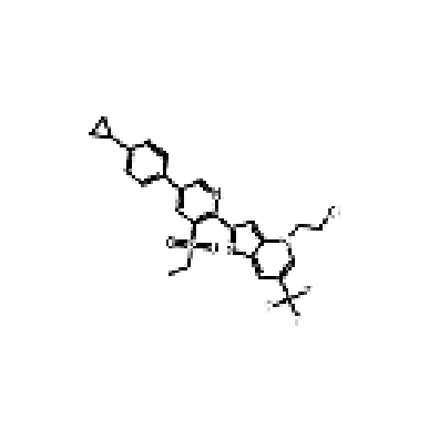 CCS(=O)(=O)c1cc(-c2ccc(C3CC3)cc2)cnc1-c1cc2n(CCCl)cc(C(F)(F)F)cc-2n1